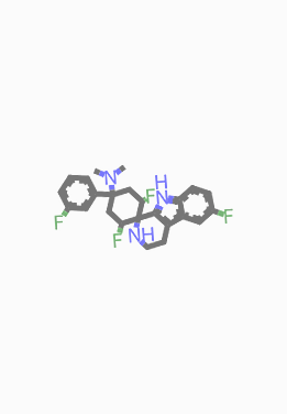 CN(C)C1(c2cccc(F)c2)CC(F)C2(NCCc3c2[nH]c2ccc(F)cc32)C(F)C1